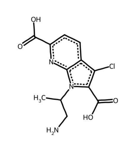 CC(CN)n1c(C(=O)O)c(Cl)c2ccc(C(=O)O)nc21